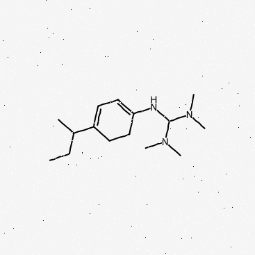 CCC(C)C1=CC=C(NC(N(C)C)N(C)C)CC1